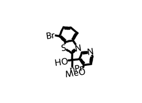 CCCC(O)(c1nc2cccc(Br)c2s1)c1cnccc1OC